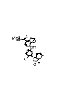 CONC(=O)c1ccc(Nc2ncc(Cl)c(Nc3ccccc3P(C)(C)=O)n2)c2c1CCO2